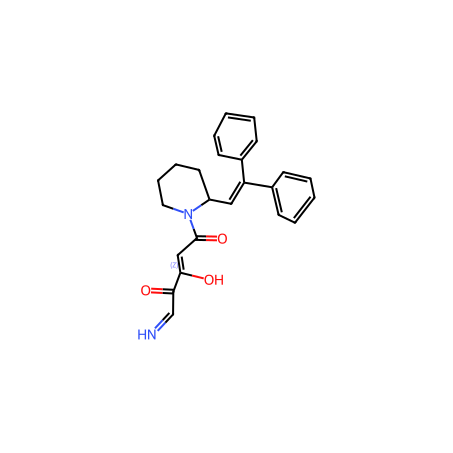 N=CC(=O)/C(O)=C/C(=O)N1CCCCC1C=C(c1ccccc1)c1ccccc1